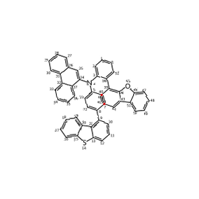 c1ccc(N(c2ccc(-c3cccc4sc5ccccc5c34)cc2)c2cc3ccccc3c3ccccc23)c(-c2cccc3c2oc2ccccc23)c1